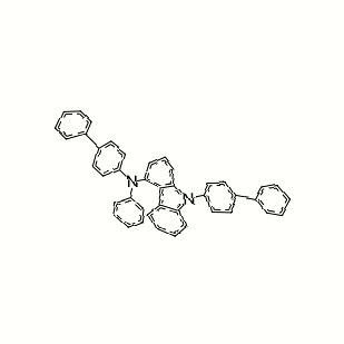 c1ccc(-c2ccc(N(c3ccccc3)c3cccc4c3c3ccccc3n4-c3ccc(-c4ccccc4)cc3)cc2)cc1